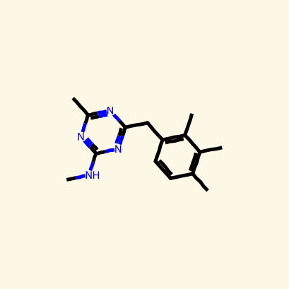 CNc1nc(C)nc(Cc2ccc(C)c(C)c2C)n1